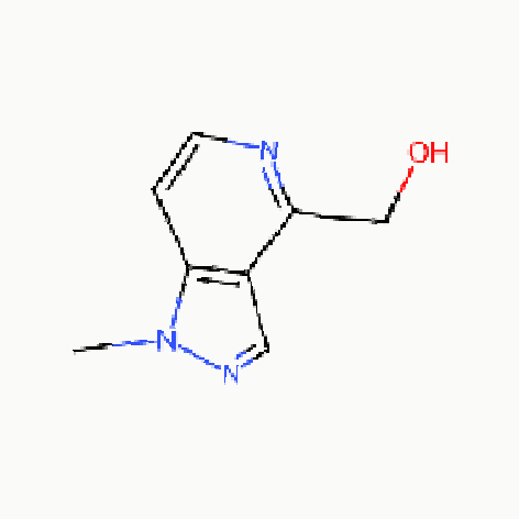 Cn1ncc2c(CO)nccc21